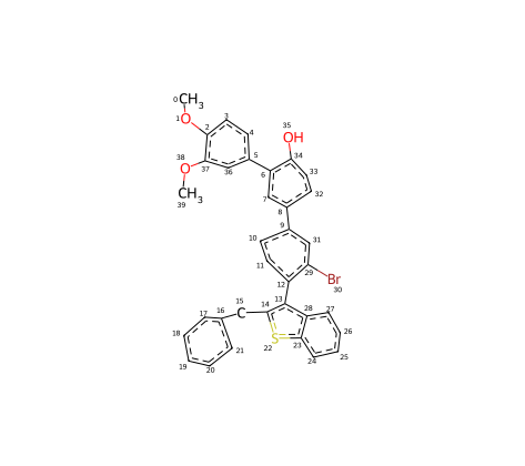 COc1ccc(-c2cc(-c3ccc(-c4c(Cc5ccccc5)sc5ccccc45)c(Br)c3)ccc2O)cc1OC